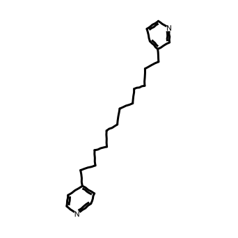 c1cncc(CCCCCCCCCCCCc2ccncc2)c1